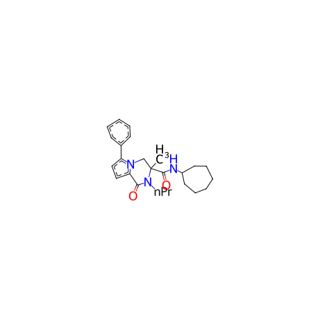 CCCN1C(=O)c2ccc(-c3ccccc3)n2CC1(C)C(=O)NC1CCCCCC1